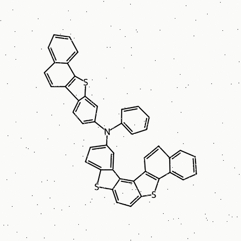 c1ccc(N(c2ccc3c(c2)sc2c4ccccc4ccc32)c2ccc3sc4ccc5sc6c7ccccc7ccc6c5c4c3c2)cc1